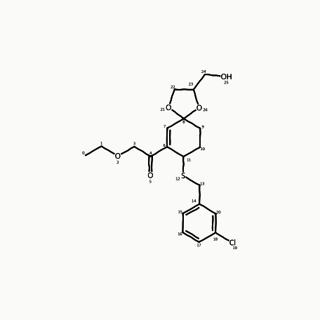 CCOCC(=O)C1=CC2(CCC1SCc1cccc(Cl)c1)OCC(CO)O2